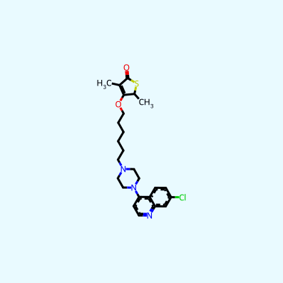 CC1=C(OCCCCCCN2CCN(c3ccnc4cc(Cl)ccc34)CC2)C(C)SC1=O